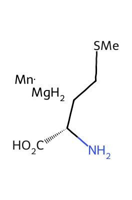 CSCC[C@H](N)C(=O)O.[MgH2].[Mn]